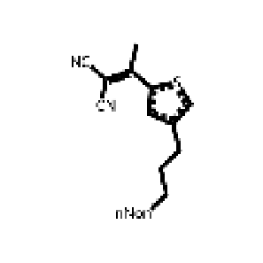 CCCCCCCCCCCCc1csc(C(C)=C(C#N)C#N)c1